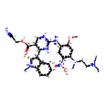 COc1cc(N(C)CCN(C)C)c([N+](=O)[O-])cc1Nc1ncc(C(=O)OCC#N)c(-c2cn(C)c3ccccc23)n1